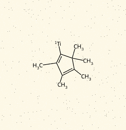 CC1=C(C)C(C)(C)[C]([1Ti])=C1C